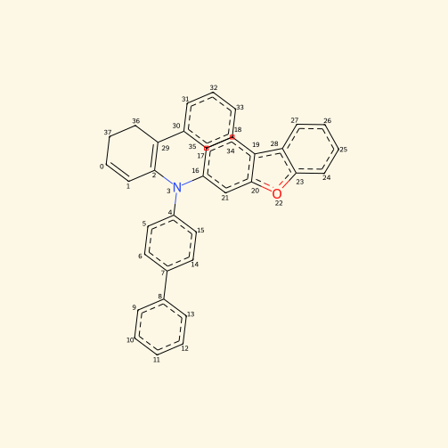 C1=CC(N(c2ccc(-c3ccccc3)cc2)c2ccc3c(c2)oc2ccccc23)=C(c2ccccc2)CC1